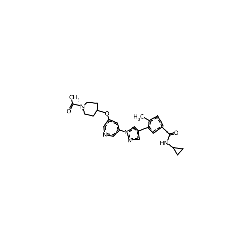 CC(=O)N1CCC(Oc2cncc(-n3cc(-c4cc(C(=O)NC5CC5)ccc4C)cn3)c2)CC1